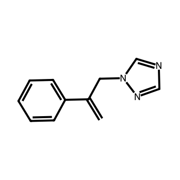 C=C(Cn1cncn1)c1ccccc1